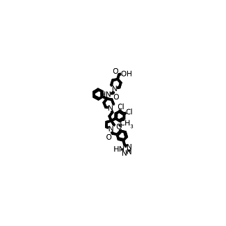 COc1ccc(-c2nnn[nH]2)cc1C(=O)N1CCC(CCN2CCC(NC(=O)N3CCC(C(=O)O)CC3)(c3ccccc3)CC2)(c2ccc(Cl)c(Cl)c2)C1